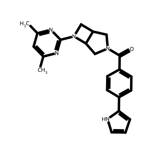 Cc1cc(C)nc(N2CC3CN(C(=O)c4ccc(-c5ccc[nH]5)cc4)CC32)n1